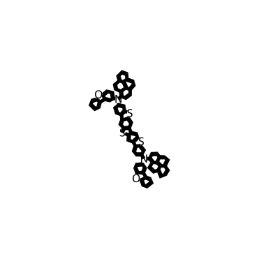 c1cc2ccc3ccc(N(c4ccc5c(c4)sc4cc6c(cc45)sc4cc5c(cc46)sc4cc(N(c6ccc7oc8ccccc8c7c6)c6ccc7ccc8cccc9ccc6c7c89)ccc45)c4ccc5oc6ccccc6c5c4)c4ccc(c1)c2c34